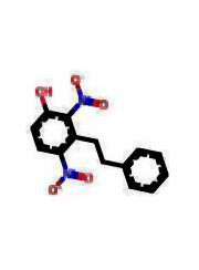 O=[N+]([O-])c1ccc(O)c([N+](=O)[O-])c1CCc1ccccc1